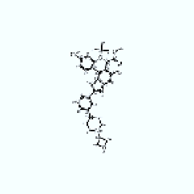 COC(=O)[C@@H](OC(C)(C)C)c1c(C)cc2nc(-c3cncc(N4CCN(C5COC5)CC4)c3)sc2c1-c1ccc(Cl)cc1